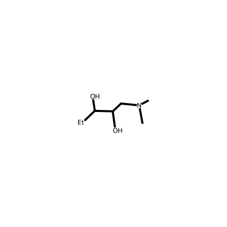 CCC(O)C(O)CN(C)C